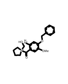 COc1cc(C(=O)[N+]2(CO)CCCC2)c(N)cc1OCc1ccccc1